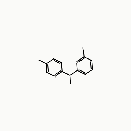 Cc1ccc(C(C)c2cccc(F)n2)nc1